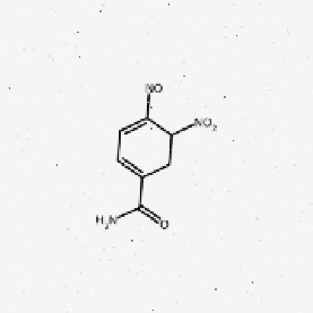 NC(=O)C1=CC=C(N=O)C([N+](=O)[O-])C1